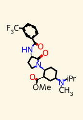 COC(=O)[C@@H]1CC(N(C)C(C)C)CC[C@@H]1N1CC[C@H](NC(=O)c2cccc(C(F)(F)F)c2)C1=O